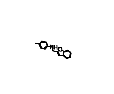 Cc1ccc(NCc2cc3ccccc3o2)cc1